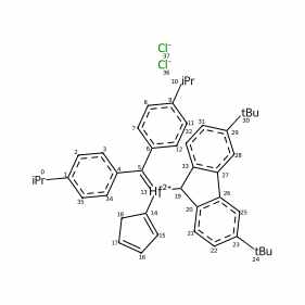 CC(C)c1ccc([C](c2ccc(C(C)C)cc2)=[Hf+2]([C]2=CC=CC2)[CH]2c3ccc(C(C)(C)C)cc3-c3cc(C(C)(C)C)ccc32)cc1.[Cl-].[Cl-]